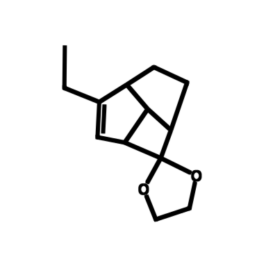 CCC1=CC2C3C1CCC3C21OCCO1